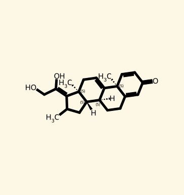 CC1C[C@H]2[C@@H]3CCC4=CC(=O)C=C[C@]4(C)C3=CC[C@]2(C)C1=C(O)CO